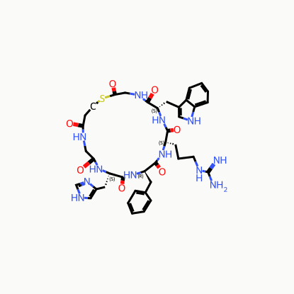 N=C(N)NCCC[C@@H]1NC(=O)[C@@H](Cc2ccccc2)NC(=O)[C@H](Cc2c[nH]cn2)NC(=O)CNC(=O)CCSC(=O)CNC(=O)[C@H](Cc2c[nH]c3ccccc23)NC1=O